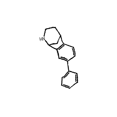 c1ccc(-c2ccc3c(c2)C2CC3CCN2)cc1